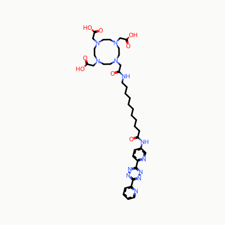 O=C(O)CN1CCN(CC(=O)O)CCN(CC(=O)NCCCCCCCCCCC(=O)Nc2ccc(-c3nnc(-c4ccccn4)nn3)nc2)CCN(CC(=O)O)CC1